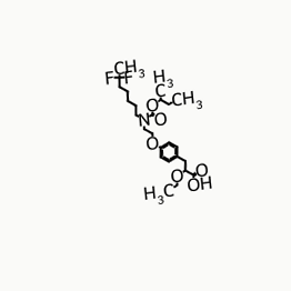 CCOC(Cc1ccc(OCCN(CCCCCC(C)(F)F)C(=O)OC(C)CC)cc1)C(=O)O